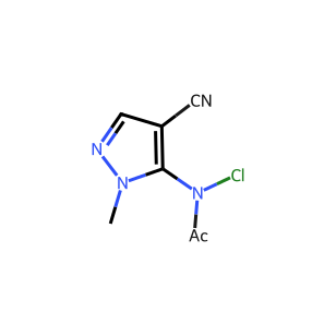 CC(=O)N(Cl)c1c(C#N)cnn1C